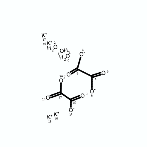 O.O.O.O=C([O-])C(=O)[O-].O=C([O-])C(=O)[O-].[K+].[K+].[K+].[K+]